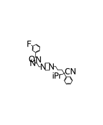 CC(C)C(C#N)(CCCN1CCN(Cc2noc(-c3cccc(F)c3)n2)CC1)c1ccccc1